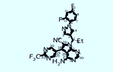 CC[C@@H](c1cnn(-c2ccc(F)cc2F)c1)n1c(C#N)c(-c2cnc(C(F)(F)F)nc2)c2c(N)ncnc21